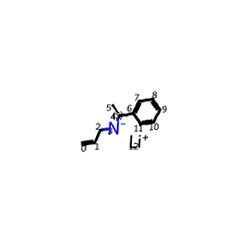 C=CC[N-][C@@H](C)c1ccccc1.[Li+]